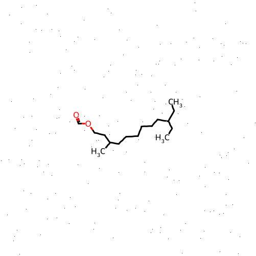 CCC(CC)CCCCCCC(C)CCOC=O